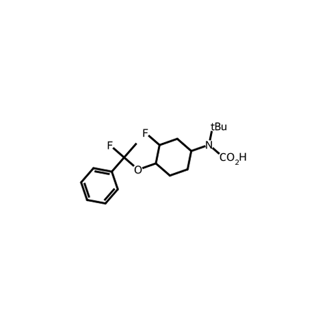 CC(F)(OC1CCC(N(C(=O)O)C(C)(C)C)CC1F)c1ccccc1